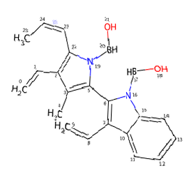 C=Cc1c(C)c(-c2c(C=C)c3ccccc3n2BO)n(BO)c1/C=C\C